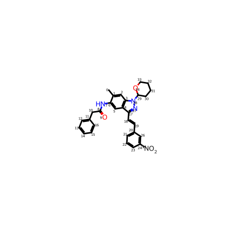 Cc1cc2c(cc1NC(=O)Cc1ccccc1)c(C=Cc1cccc([N+](=O)[O-])c1)nn2C1CCCCO1